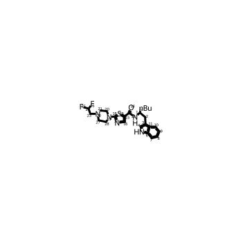 CCCCC(Cc1c[nH]c2ccccc12)NC(=O)c1cnc(N2CCN(CC(F)F)CC2)s1